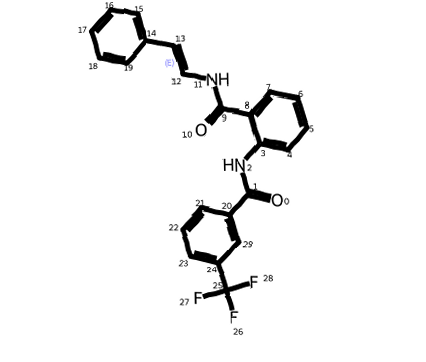 O=C(Nc1ccccc1C(=O)N/C=C/c1ccccc1)c1cccc(C(F)(F)F)c1